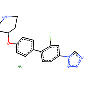 Cl.Fc1cc(-n2cnnn2)ccc1-c1ccc(OC2CCNCC2)cc1